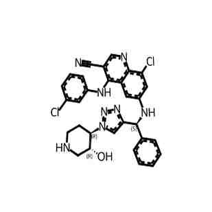 N#Cc1cnc2c(Cl)cc(N[C@@H](c3ccccc3)c3cn([C@@H]4CCNC[C@H]4O)nn3)cc2c1Nc1cccc(Cl)c1